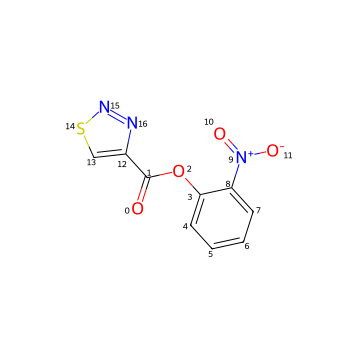 O=C(Oc1ccccc1[N+](=O)[O-])c1csnn1